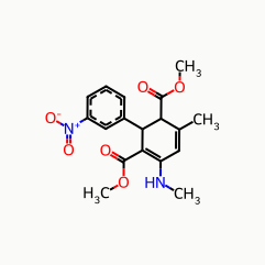 CNC1=C(C(=O)OC)C(c2cccc([N+](=O)[O-])c2)C(C(=O)OC)C(C)=C1